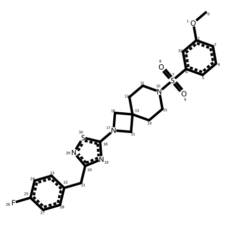 COc1cccc(S(=O)(=O)N2CCC3(CC2)CN(c2nc(Cc4ccc(F)cc4)ns2)C3)c1